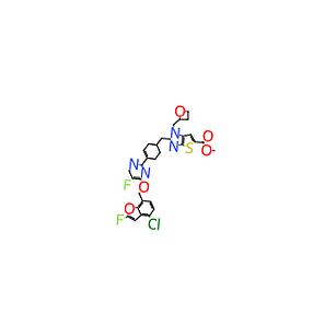 COC(=O)c1cc2c(nc(CC3CC=C(c4ncc(F)c(OCc5ccc(Cl)c6cc(F)oc56)n4)CC3)n2CC2CCO2)s1